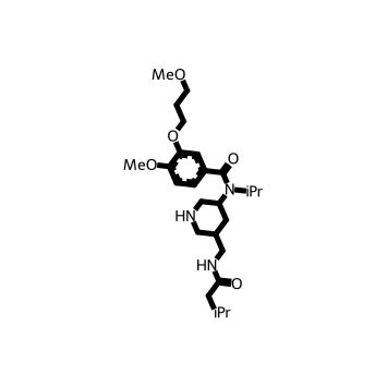 COCCCOc1cc(C(=O)N(C(C)C)C2CNCC(CNC(=O)CC(C)C)C2)ccc1OC